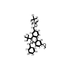 COc1ccc(F)c(-c2ccc(CO[Si](C)(C)C(C)(C)C)cc2[C@@H](OCc2ccccc2)C(C)(C)C)c1